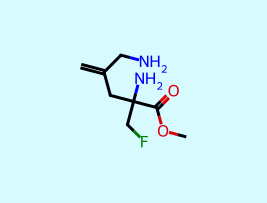 C=C(CN)CC(N)(CF)C(=O)OC